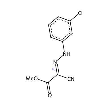 COC(=O)/C(C#N)=N/Nc1cccc(Cl)c1